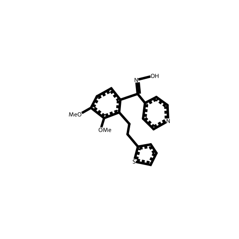 COc1ccc(C(=NO)c2ccncc2)c(CCc2cccs2)c1OC